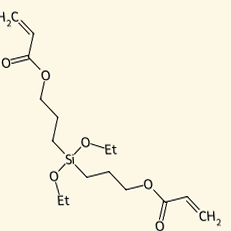 C=CC(=O)OCCC[Si](CCCOC(=O)C=C)(OCC)OCC